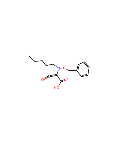 CCCCCN(OCc1ccccc1)C(=C=O)C(=O)O